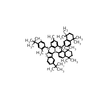 Cc1cc2c3c(c1)N(c1ccc4c(c1)C(C)(C)CCC4(C)C)c1c(ccc4c1C(C)(C)CCC4(C)C)B3c1c(sc3ccc(C(C)(C)C)cc13)N2c1ccc(C(C)(C)C)cc1C